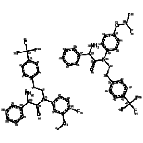 COc1cc(N(CCc2ccc(C(F)(F)F)cc2)C(=O)C(N)c2ccccc2)ccc1F.NC(C(=O)N(CCc1ccc(C(F)(F)F)cc1)c1ccc(OC(F)F)cc1)c1ccccc1